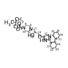 CC(C)(C)OC(=O)N1CCN(CC(O)COc2cnc(-c3ccccc3-c3ccccc3)[nH]2)CC1